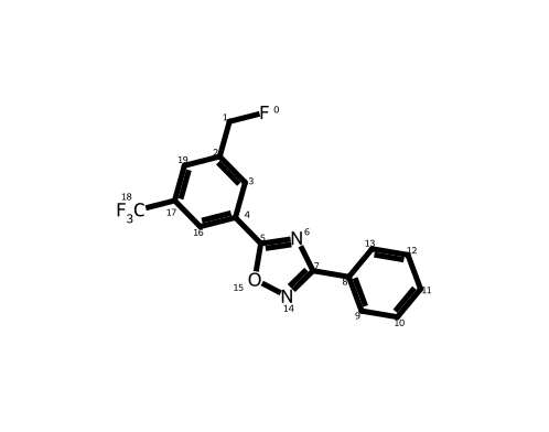 FCc1cc(-c2nc(-c3ccccc3)no2)cc(C(F)(F)F)c1